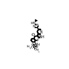 CN(C)S(=O)(=O)Nc1cccc(C(=O)c2c[nH]c3ncc(-c4cnc(NC5CC5)nc4)cc23)c1F